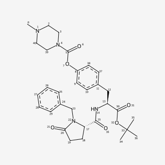 CN1CCN(C(=O)Oc2ccc(C[C@H](NC(=O)[C@@H]3CCC(=O)N3Cc3ccccc3)C(=O)OC(C)(C)C)cc2)CC1